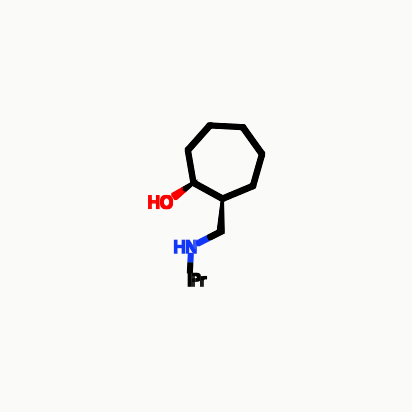 CC(C)NC[C@@H]1CCCCC[C@@H]1O